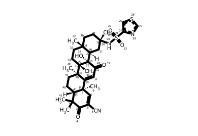 CC1(C)C(=O)C(C#N)=C[C@]2(C)C3=CC(=O)[C@]4(O)[C@@H]5C[C@@](C)(NS(=O)(=O)c6cscn6)CC[C@@]5(C)CC[C@@]4(C)[C@]3(C)CC[C@@H]12